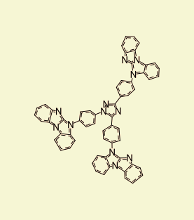 c1ccc2c(c1)nc1n(-c3ccc(-c4nc(-c5ccc(-n6c7ccccc7n7c8ccccc8nc67)cc5)n(-c5ccc(-n6c7ccccc7n7c8ccccc8nc67)cc5)n4)cc3)c3ccccc3n21